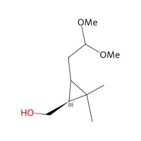 COC(CC1[C@H](CO)C1(C)C)OC